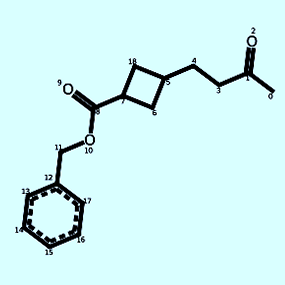 CC(=O)CCC1CC(C(=O)OCc2ccccc2)C1